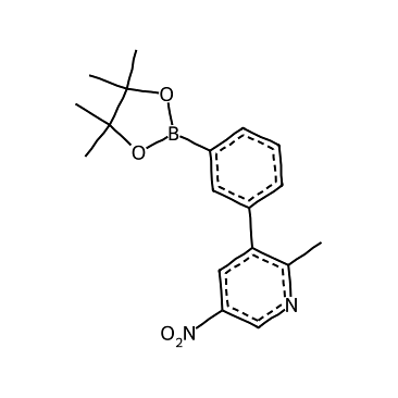 Cc1ncc([N+](=O)[O-])cc1-c1cccc(B2OC(C)(C)C(C)(C)O2)c1